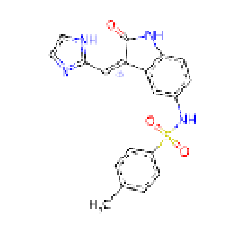 Cc1ccc(S(=O)(=O)Nc2ccc3c(c2)/C(=C/c2ncc[nH]2)C(=O)N3)cc1